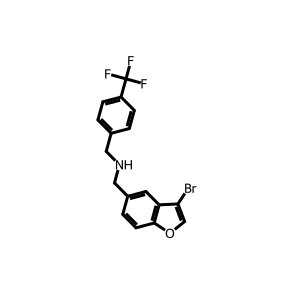 FC(F)(F)c1ccc(CNCc2ccc3occ(Br)c3c2)cc1